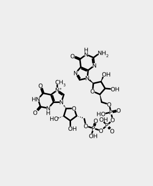 C[n+]1cn([C@@H]2O[C@H](COP(=O)(O)OP(=O)(O)OP(=O)(O)OC[C@H]3O[C@@H](n4cnc5c(=O)[nH]c(N)nc54)[C@@H](O)C3O)C(O)[C@@H]2O)c2[nH]c(=O)[nH]c(=O)c21